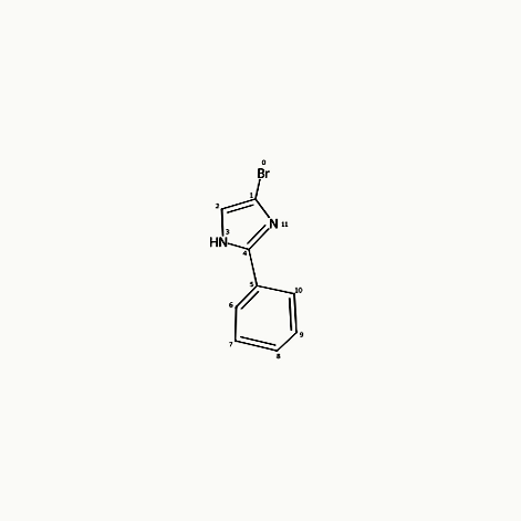 Brc1c[nH]c(-c2ccccc2)n1